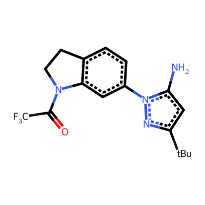 CC(C)(C)c1cc(N)n(-c2ccc3c(c2)N(C(=O)C(F)(F)F)CC3)n1